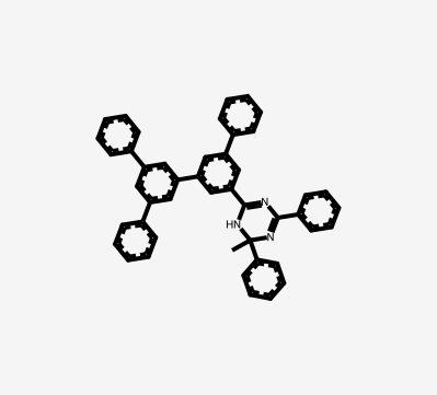 CC1(c2ccccc2)N=C(c2ccccc2)N=C(c2cc(-c3ccccc3)cc(-c3cc(-c4ccccc4)cc(-c4ccccc4)c3)c2)N1